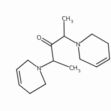 CC(C(=O)C(C)N1CC=CCC1)N1CC=CCC1